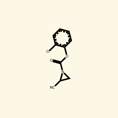 N#CC1CN1C(=O)Oc1ccccc1Cl